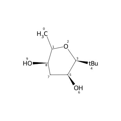 CC1O[C@@H](C(C)(C)C)[C@@H](O)C[C@H]1O